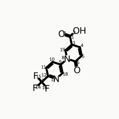 O=C(O)c1ccc(=O)n(-c2ccc(C(F)(F)F)nc2)c1